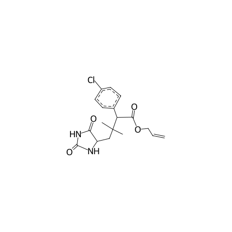 C=CCOC(=O)C(c1ccc(Cl)cc1)C(C)(C)CC1NC(=O)NC1=O